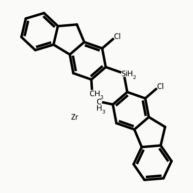 Cc1cc2c(c(Cl)c1[SiH2]c1c(C)cc3c(c1Cl)Cc1ccccc1-3)Cc1ccccc1-2.[Zr]